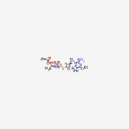 CCOc1nc(N)nc2c1ncn2[C@@H]1O[C@H](CCOP(=O)(O)N[C@@H](C)COC(=O)C(C)C)C[C@@H]1C